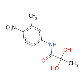 CC(O)(O)C(=O)Nc1ccc([N+](=O)[O-])c(C(F)(F)F)c1